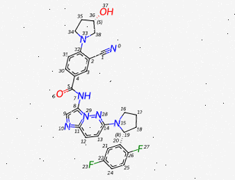 N#Cc1cc(C(=O)Nc2cnc3ccc(N4CCC[C@@H]4c4cc(F)ccc4F)nn23)ccc1N1CC[C@H](O)C1